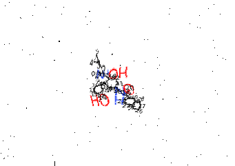 C[N@+]1(CC2CC2)CC[C@@]2(c3cccc(O)c3)C[C@H](NC(=O)c3ccc4ccccc4c3)CCC2(O)C1